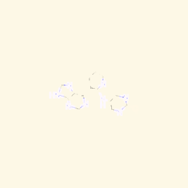 COc1ncc(Nc2ncccc2-c2nc(C)nc3[nH]cnc23)cn1